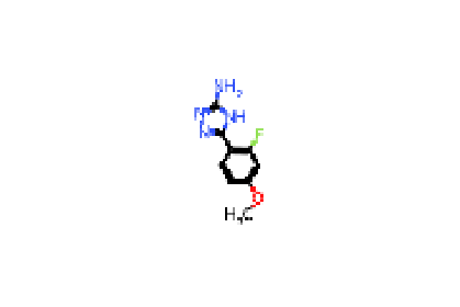 COc1ccc(-c2nnc(N)[nH]2)c(F)c1